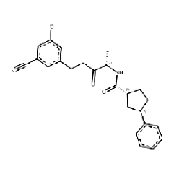 C[C@H](NC(=O)[C@@H]1CC[C@@H](c2ccccc2)C1)C(=O)CCc1cc(Cl)cc(C#N)c1